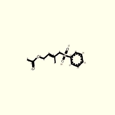 CC(=O)OC/C=C(\C)CS(=O)(=O)c1ccccc1